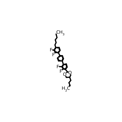 C=CCCC1COC(c2ccc(-c3ccc(-c4ccc(CCCCCC)c(F)c4F)cc3)c(F)c2F)OC1